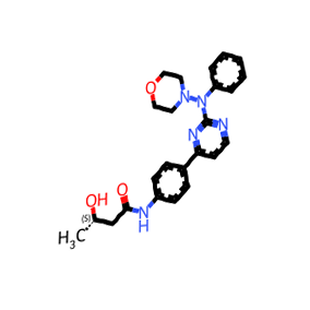 C[C@H](O)CC(=O)Nc1ccc(-c2ccnc(N(c3ccccc3)N3CCOCC3)n2)cc1